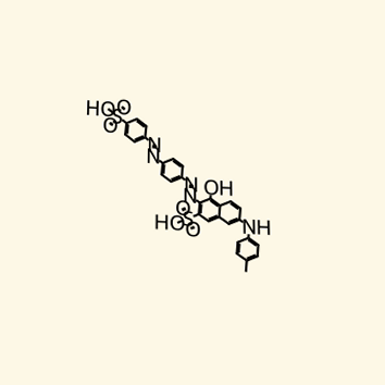 Cc1ccc(Nc2ccc3c(O)c(N=Nc4ccc(N=Nc5ccc(S(=O)(=O)O)cc5)cc4)c(S(=O)(=O)O)cc3c2)cc1